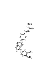 CC(C)(C)OC(=O)NCC1CCN(c2nn3c(-c4cnc(N)c(C(F)(F)F)c4)cnc3s2)CC1